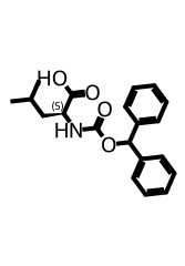 CC(C)C[C@H](NC(=O)OC(c1ccccc1)c1ccccc1)C(=O)O